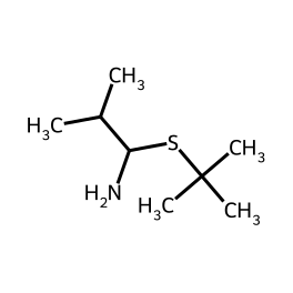 CC(C)C(N)SC(C)(C)C